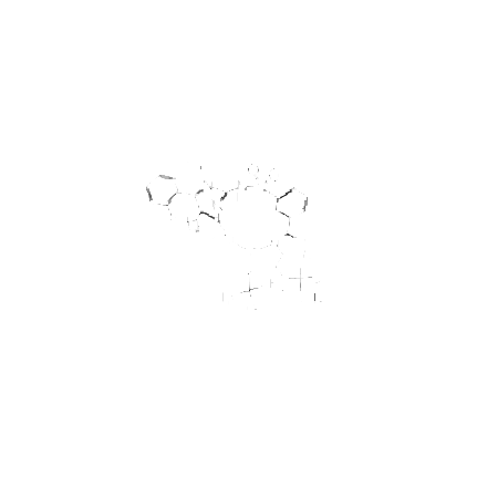 Cc1cccc(C)c1-c1nc2nc(c1C)OC[C@@H](CCC(C)(C)O)N(CCCC(C)(C)O)C(=O)c1cccc(c1)S(=O)(=O)N2